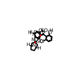 Cc1onc(-c2c(Cl)cccc2Cl)c1C(=O)O[C@H]1C[C@H]2CC[C@@H](C1)N2c1nc2c(F)cc(C(=O)O)cc2s1